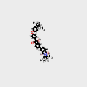 CCC(C)(CC)c1ccc(Oc2ccc(C3C(=O)c4ccc(-c5ccc6c(c5)C(=O)N(C(C)(CC)CC)C6=O)cc4C3=O)cc2)cc1